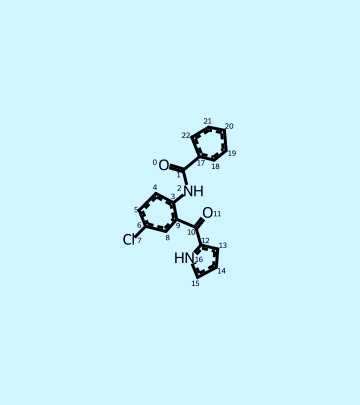 O=C(Nc1ccc(Cl)cc1C(=O)c1ccc[nH]1)c1ccccc1